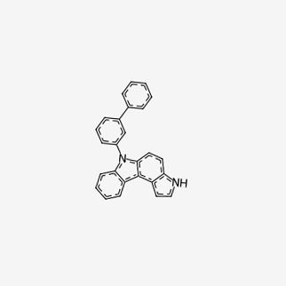 c1ccc(-c2cccc(-n3c4ccccc4c4c5cc[nH]c5ccc43)c2)cc1